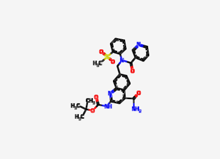 CC(C)(C)OC(=O)Nc1cc(C(N)=O)c2ccc(CN(C(=O)c3cccnc3)c3ccccc3S(C)(=O)=O)cc2n1